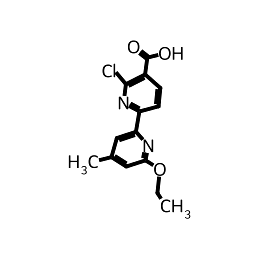 CCOc1cc(C)cc(-c2ccc(C(=O)O)c(Cl)n2)n1